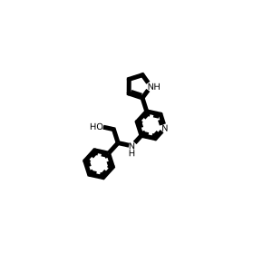 OCC(Nc1cncc(C2=CCCN2)c1)c1ccccc1